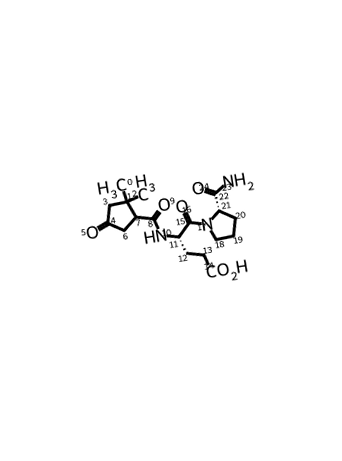 CC1(C)CC(=O)CC1C(=O)N[C@@H](CCC(=O)O)C(=O)N1CCC[C@H]1C(N)=O